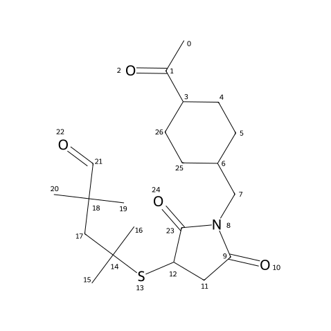 CC(=O)C1CCC(CN2C(=O)CC(SC(C)(C)CC(C)(C)C=O)C2=O)CC1